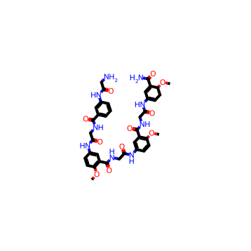 COc1ccc(NC(=O)CNC(=O)c2cc(NC(=O)CNC(=O)c3cccc(NC(=O)CN)c3)ccc2OC)cc1C(=O)NCC(=O)NC1=CCC(OC)C(C(N)=O)=C1